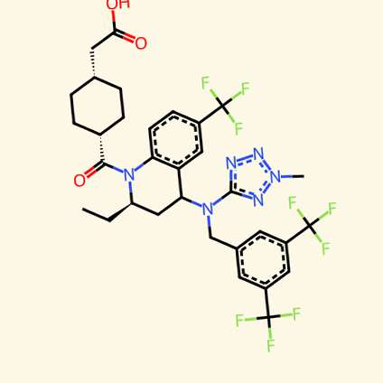 CC[C@@H]1CC(N(Cc2cc(C(F)(F)F)cc(C(F)(F)F)c2)c2nnn(C)n2)c2cc(C(F)(F)F)ccc2N1C(=O)[C@H]1CC[C@@H](CC(=O)O)CC1